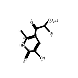 CCOC(=O)C(Br)C(=O)c1cc(C#N)c(=O)[nH]c1C